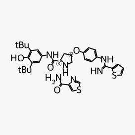 CC(C)(C)c1cc(NC(=O)[C@H]2C[C@H](Oc3ccc(NC(=N)c4cccs4)cc3)CN2)cc(C(C)(C)C)c1O.NC(=O)c1cscn1